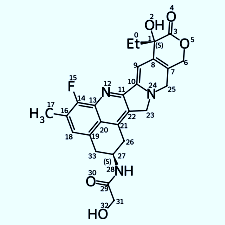 CC[C@@]1(O)C(=O)OCC2=C1C=C1c3nc4c(F)c(C)cc5c4c(c3CN1C2)C[C@@H](NC(=O)CO)C5